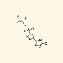 O=c1[nH]c(-c2cnc(S(=O)(=O)CCC(F)=C(F)F)s2)no1